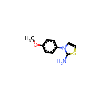 COc1ccc(N2C=CSC2N)cc1